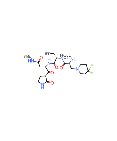 CCCCNC(=O)C[C@H](NC(=O)[C@H](CC(C)C)NC(=O)[C@H](CN1CCC(F)(F)CC1)NC(=O)O)C(=O)[C@@H]1CCNC1=O